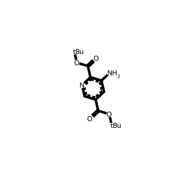 CC(C)(C)OC(=O)c1cnc(C(=O)OC(C)(C)C)c(N)c1